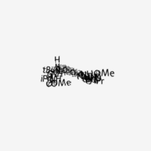 COC(=O)NC(C(=O)NC(c1nc(-c2ccc(-c3ccc(-c4c[nH]c(C(NC(=O)[C@H](NC(=O)OC)C(C)C)C(C)(C)C)n4)cc3)cc2)c[nH]1)C(C)(C)C)C(C)C